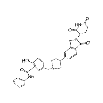 O=C1CCC(N2Cc3cc(C4CCN(Cc5ccc(O)c(C(=O)Nc6ccccc6)c5)CC4)ccc3C2=O)C(=O)N1